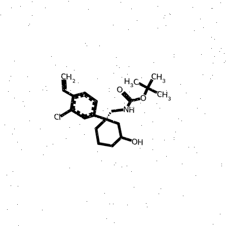 C=Cc1ccc([C@]2(CNC(=O)OC(C)(C)C)CCCC(O)C2)cc1Cl